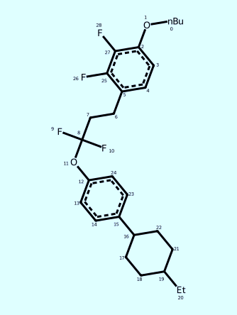 CCCCOc1ccc(CCC(F)(F)Oc2ccc(C3CCC(CC)CC3)cc2)c(F)c1F